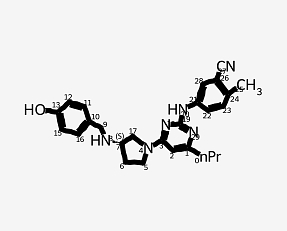 CCCc1cc(N2CC[C@H](NCc3ccc(O)cc3)C2)nc(Nc2ccc(C)c(C#N)c2)n1